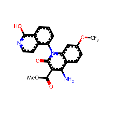 COC(=O)c1c(N)c2ccc(OC(F)(F)F)cc2n(-c2cccc3c(O)nccc23)c1=O